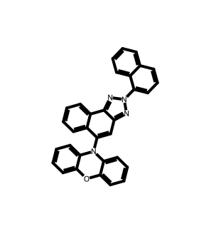 c1ccc2c(c1)Oc1ccccc1N2c1cc2nn(-c3cccc4ccccc34)nc2c2ccccc12